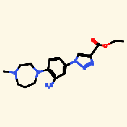 CCOC(=O)c1cn(-c2ccc(N3CCCN(C)CC3)c(N)c2)nn1